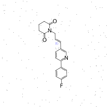 O=C1CCCC(=O)N1C/C=C/c1ccc(-c2ccc(F)cc2)nc1